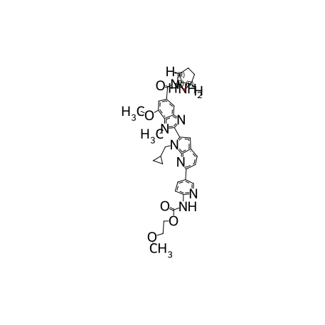 COCCOC(=O)Nc1ccc(-c2ccc3cc(-c4nc5cc(C(=O)N6C[C@H]7CC[C@@H]6[C@@H]7N)cc(OC)c5n4C)n(CC4CC4)c3n2)cn1